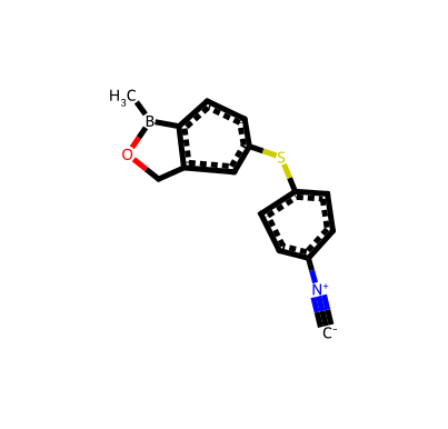 [C-]#[N+]c1ccc(Sc2ccc3c(c2)COB3C)cc1